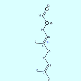 CC(C)=CCC/C(C)=C/CO[C]=O